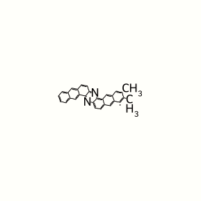 Cc1[c]c2cc3ccc4nc5c(ccc6cc7ccccc7cc65)nc4c3cc2cc1C